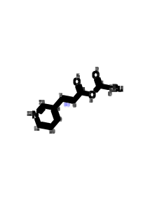 CC(C)(C)C(=O)OC(=O)/C=C/c1cccnc1